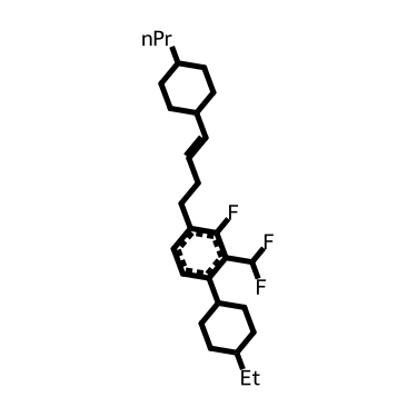 CCCC1CCC(/C=C/CCc2ccc(C3CCC(CC)CC3)c(C(F)F)c2F)CC1